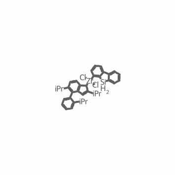 CC(C)C1=Cc2c(ccc(C(C)C)c2-c2ccccc2C(C)C)[CH]1[Zr]([Cl])([Cl])[c]1cccc2c1[SiH2]c1ccccc1-2